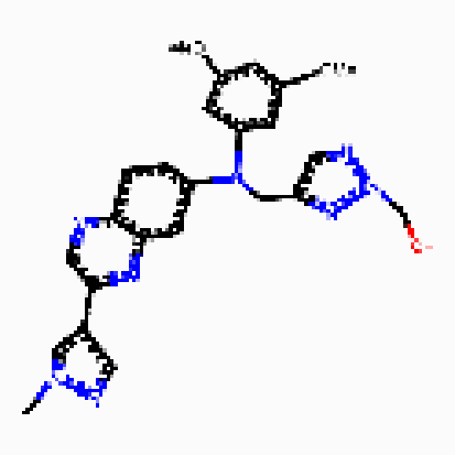 COc1cc(OC)cc(N(Cc2cnn(CO)n2)c2ccc3ncc(-c4cnn(C)c4)nc3c2)c1